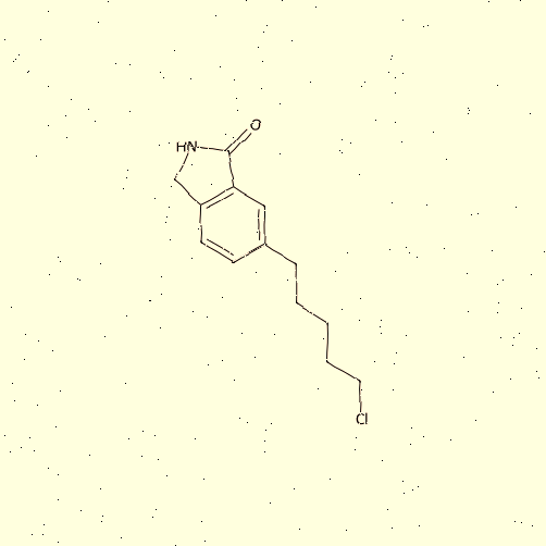 O=C1NCc2ccc(CCCCCCl)cc21